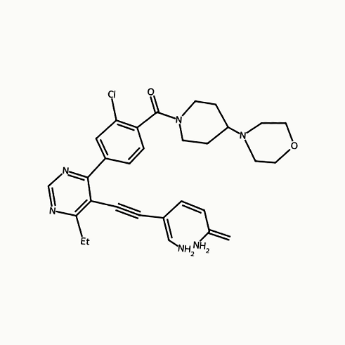 C=C(N)/C=C\C(C#Cc1c(CC)ncnc1-c1ccc(C(=O)N2CCC(N3CCOCC3)CC2)c(Cl)c1)=C/N